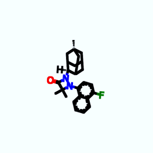 CC1(C)C(=O)N([C@H]2C3CC4CC2C[C@](C)(C4)C3)N1c1ccc(F)c2ccccc12